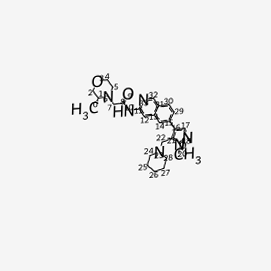 C[C@H]1COCCN1CC(=O)Nc1cc2cc(-c3cnn(C)c3CN3CCCCC3)ccc2cn1